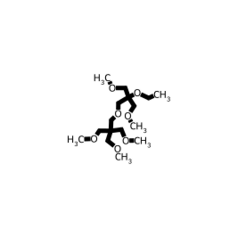 CCOC(COC)(COC)COCC(COC)(COC)COC